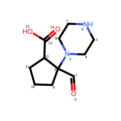 O=CC1(N2CCNCC2)CCCC1C(=O)O